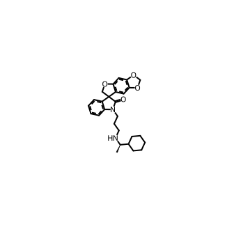 C[C@@H](NCCCN1C(=O)C2(COc3cc4c(cc32)OCO4)c2ccccc21)C1CCCCC1